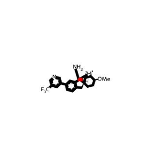 [2H]C1([2H])OC(N)=N[C@]12c1cc(-c3cncc(C(F)(F)F)c3)ccc1C[C@@]21CC[C@H](OC)[C@@H](C)C1